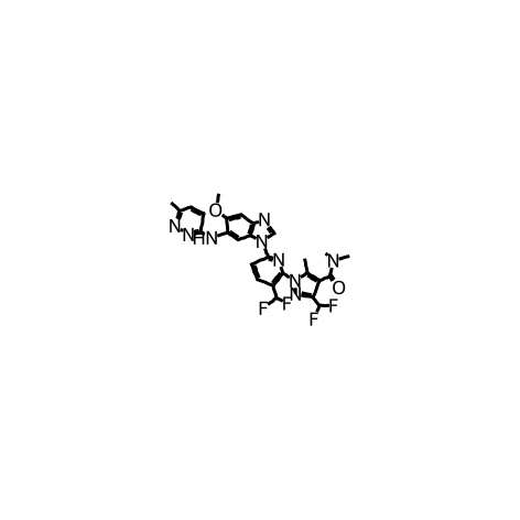 COc1cc2ncn(-c3ccc(C(F)F)c(-n4nc(C(F)F)c(C(=O)N(C)C)c4C)n3)c2cc1Nc1ccc(C)nn1